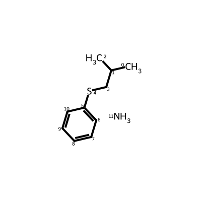 CC(C)CSc1ccccc1.N